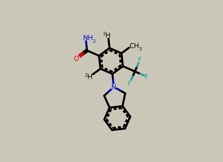 [2H]c1c(C)c(C(F)(F)F)c(N2Cc3ccccc3C2)c([2H])c1C(N)=O